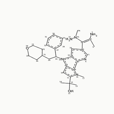 C/C(N)=C(\c1cnc2c3c(cc(C(C)(C)O)n3C)n(C(CC3CCOCC3)c3ccccc3)c2c1)N(C)N